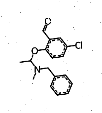 CC(Oc1ccc(Cl)cc1C=O)N(C)Cc1ccccc1